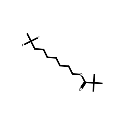 CC(F)(F)CCCCCCCOC(=O)C(C)(C)C